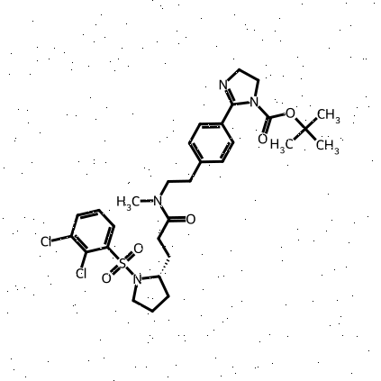 CN(CCc1ccc(C2=NCCN2C(=O)OC(C)(C)C)cc1)C(=O)CC[C@@H]1CCCN1S(=O)(=O)c1cccc(Cl)c1Cl